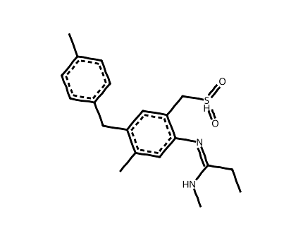 CCC(=Nc1cc(C)c(Cc2ccc(C)cc2)cc1C[SH](=O)=O)NC